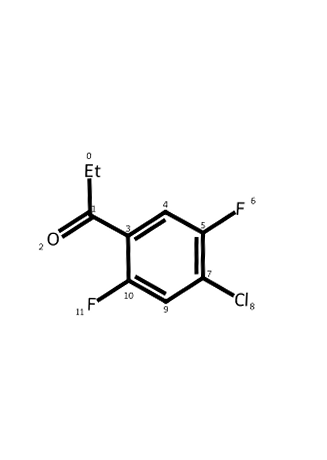 CCC(=O)c1cc(F)c(Cl)cc1F